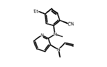 C=CN(C)c1cccnc1N(C)c1cc(CC)ccc1C#N